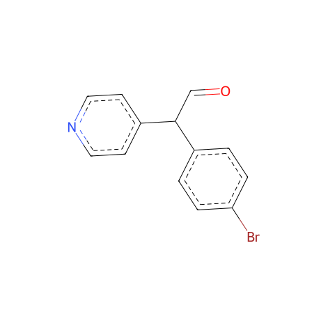 O=CC(c1ccncc1)c1ccc(Br)cc1